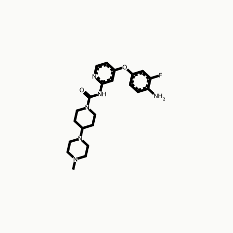 CN1CCN(C2CCN(C(=O)Nc3cc(Oc4ccc(N)c(F)c4)ccn3)CC2)CC1